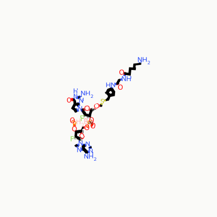 B[P@](=O)(OC[C@H]1O[C@@H](n2cnc3c(N)ncnc32)[C@H](F)[C@@H]1OP=O)O[C@H]1[C@@H](F)[C@H](n2ccc3c(=O)[nH]c(N)nc32)O[C@@H]1COCSCc1ccc(NC(=O)CNC(=O)CCCCCN)cc1